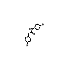 O=C(Cc1ccc(Br)cc1)Nc1ccc(Br)cc1